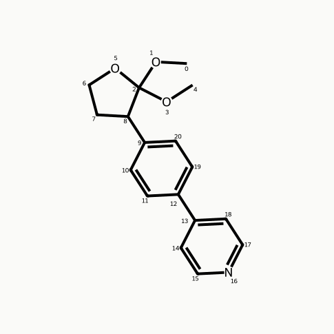 COC1(OC)OCCC1c1ccc(-c2ccncc2)cc1